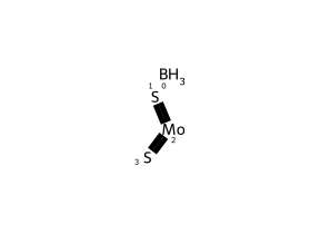 B.[S]=[Mo]=[S]